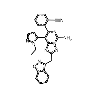 CCn1nccc1-c1c(-c2ccccc2C#N)nc(N)n2nc(Cc3noc4ccccc34)nc12